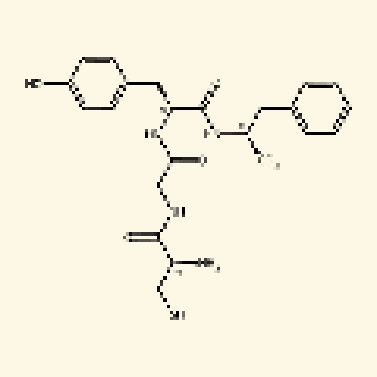 N[C@@H](CS)C(=O)NCC(=O)N[C@@H](Cc1ccc(O)cc1)C(=O)N[C@@H](Cc1ccccc1)C(=O)O